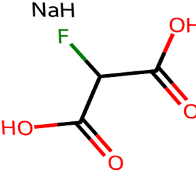 O=C(O)C(F)C(=O)O.[NaH]